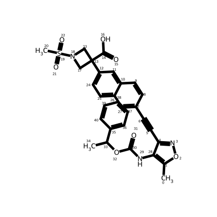 Cc1onc(C#Cc2ccc3cc(C4(C(=O)O)CN(S(C)(=O)=O)C4)ccc3c2)c1NC(=O)OC(C)c1ccccc1